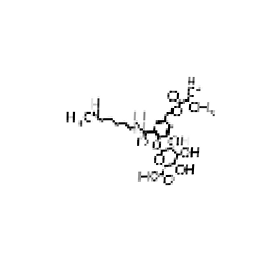 CNCCCCCNC(=O)c1cc(COC(=O)C(C)C)ccc1O[C@H]1O[C@H](C(=O)O)[C@@H](O)[C@H](O)[C@H]1O